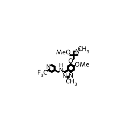 COCC1(COc2cc3c(NCc4ccnc(C(F)(F)F)c4)nc(C)nc3cc2OC)CN(C)C1